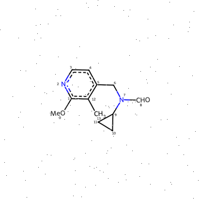 COc1nccc(CN(C=O)C2CC2)c1C